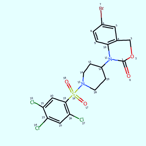 O=C1OCc2cc(Br)ccc2N1C1CCN(S(=O)(=O)c2cc(Cl)c(Cl)cc2Cl)CC1